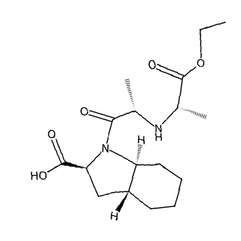 CCOC(=O)[C@H](C)N[C@@H](C)C(=O)N1[C@H](C(=O)O)C[C@H]2CCCC[C@@H]21